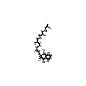 CC(C)=CCC/C(C)=C/CC/C(C)=C/CC/C(C)=C/Cc1c(C)c(C)c2ccccc2c1C